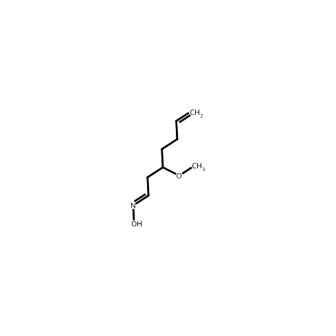 C=CCCC(C/C=N/O)OC